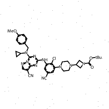 COc1ccc(CN(c2nc(Nc3cc(C#N)cc(N4CCN(C5CN(C(=O)OC(C)(C)C)C5)CC4)c3Cl)nc3c(C#N)cnn23)C2CC2)cc1